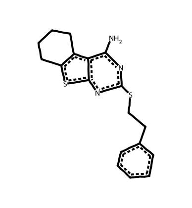 Nc1nc(SCCc2ccccc2)nc2sc3c(c12)CCCC3